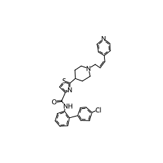 O=C(Nc1ccccc1-c1ccc(Cl)cc1)c1csc(C2CCN(C/C=C\c3ccncc3)CC2)n1